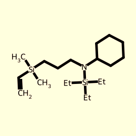 C=C[Si](C)(C)CCCN(C1CCCCC1)[Si](CC)(CC)CC